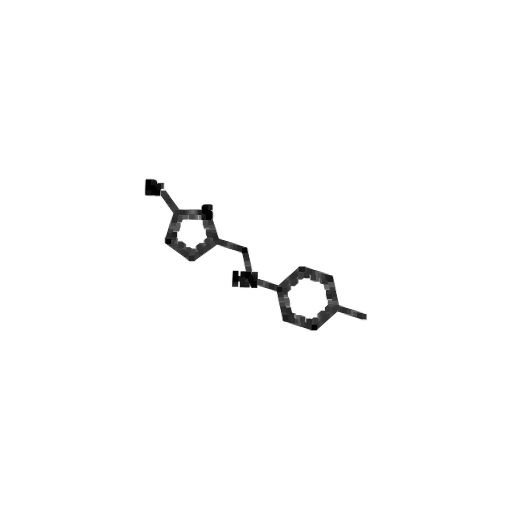 Cc1ccc(NCc2ccc(Br)s2)cc1